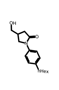 CCCCCCc1ccc(N2CC(CO)CC2=O)cc1